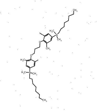 CCCCCCCC[Si](C)(C)c1cc(C)c(OCCCOc2c(C)cc([Si](C)(C)CCCCCCCC)cc2I)c(I)c1